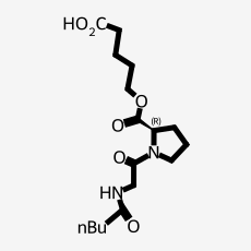 CCCCC(=O)NCC(=O)N1CCC[C@@H]1C(=O)OCCCCC(=O)O